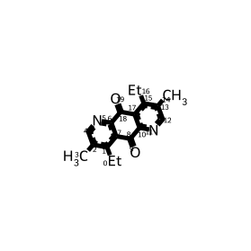 CCc1c(C)cnc2c1C(=O)c1ncc(C)c(CC)c1C2=O